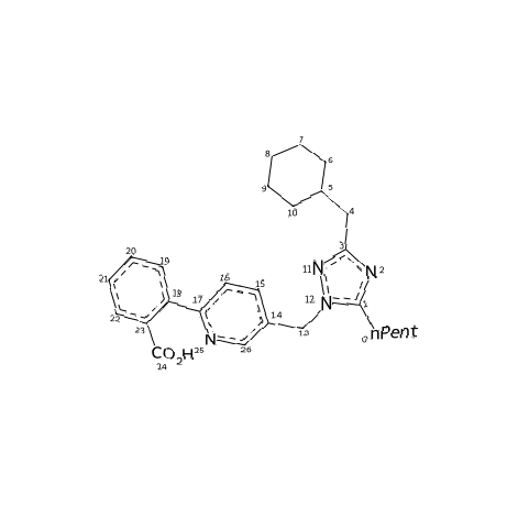 CCCCCc1nc(CC2CCCCC2)nn1Cc1ccc(-c2ccccc2C(=O)O)nc1